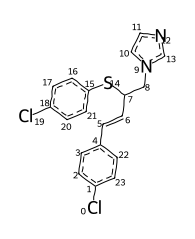 Clc1ccc(C=CC(Cn2ccnc2)Sc2ccc(Cl)cc2)cc1